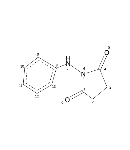 O=C1CCC(=O)N1Nc1ccccc1